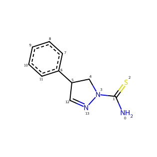 NC(=S)N1CC(c2ccccc2)C=N1